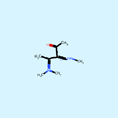 CN/C=C(\C(C)=O)C(C)=[N+](C)C